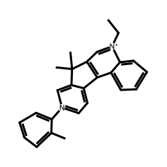 CC[n+]1cc2c(c3ccccc31)-c1cc[n+](-c3ccccc3C)cc1C2(C)C